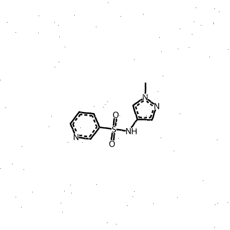 Cn1cc(NS(=O)(=O)c2cccnc2)cn1